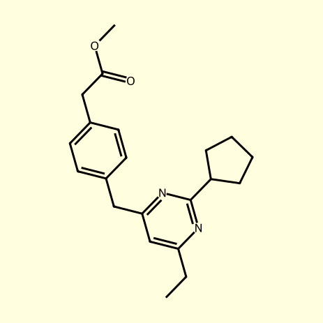 CCc1cc(Cc2ccc(CC(=O)OC)cc2)nc(C2CCCC2)n1